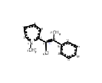 [CH2-][n+]1ccccc1/C(Cl)=C(\C)c1ccccc1